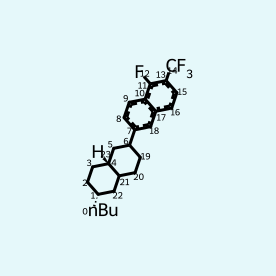 CCCC[C@@H]1CC[C@@H]2CC(c3ccc4c(F)c(C(F)(F)F)ccc4c3)CCC2C1